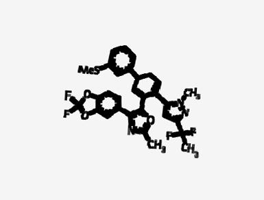 CSc1cccc(C2C=C(c3oc(C)nc3-c3ccc4c(c3)OC(F)(F)O4)C(c3cc(C(C)(F)F)nn3C)=CC2)c1